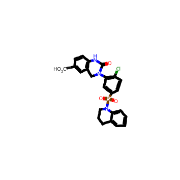 O=C(O)c1ccc2c(c1)CN(c1cc(S(=O)(=O)N3CCCc4ccccc43)ccc1Cl)C(=O)N2